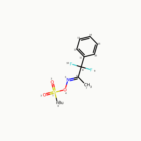 CCCCS(=O)(=O)ON=C(C)C(F)(F)c1ccccc1